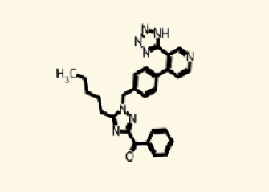 CCCCCc1nc(C(=O)c2ccccc2)nn1Cc1ccc(-c2ccncc2-c2nnn[nH]2)cc1